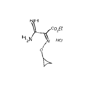 CCOC(=O)C(=NOC1CC1)C(=N)N.Cl